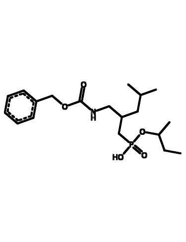 CCC(C)OP(=O)(O)CC(CNC(=O)OCc1ccccc1)CC(C)C